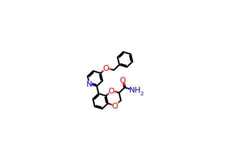 NC(=O)C1COc2cccc(-c3cc(OCc4ccccc4)ccn3)c2O1